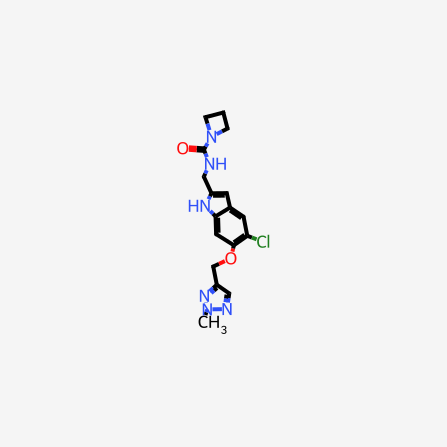 Cn1ncc(COc2cc3[nH]c(CNC(=O)N4CCC4)cc3cc2Cl)n1